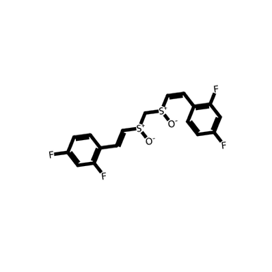 [O-][S+](/C=C\c1ccc(F)cc1F)C[S+]([O-])/C=C/c1ccc(F)cc1F